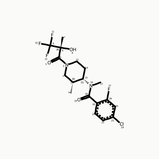 C[C@@H]1CN(C(=O)[C@@](C)(O)C(F)(F)F)CC[C@@H]1N(C)C(=O)c1ccc(Cl)cc1F